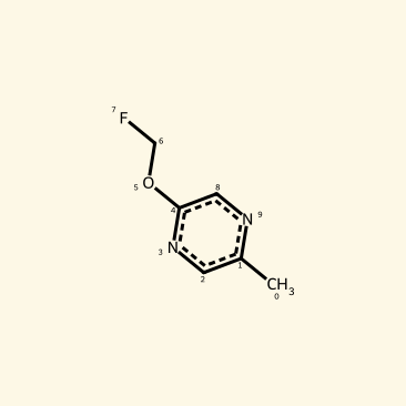 Cc1cnc(OCF)cn1